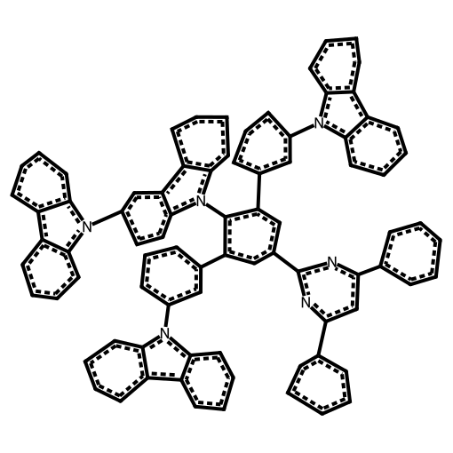 c1ccc(-c2cc(-c3ccccc3)nc(-c3cc(-c4cccc(-n5c6ccccc6c6ccccc65)c4)c(-n4c5ccccc5c5cc(-n6c7ccccc7c7ccccc76)ccc54)c(-c4cccc(-n5c6ccccc6c6ccccc65)c4)c3)n2)cc1